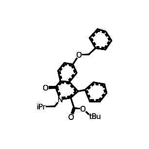 CC(C)Cn1c(C(=O)OC(C)(C)C)c(-c2ccccc2)c2cc(OCc3ccccc3)ccc2c1=O